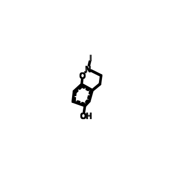 Oc1ccc2c(c1)CCN(I)O2